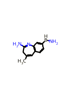 CC1=Cc2ccc(BN)cc2N=C(N)C1